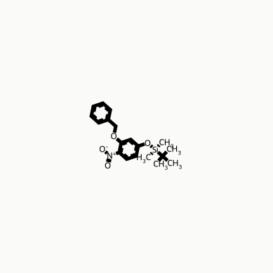 CC(C)(C)[Si](C)(C)Oc1ccc([N+](=O)[O-])c(OCc2ccccc2)c1